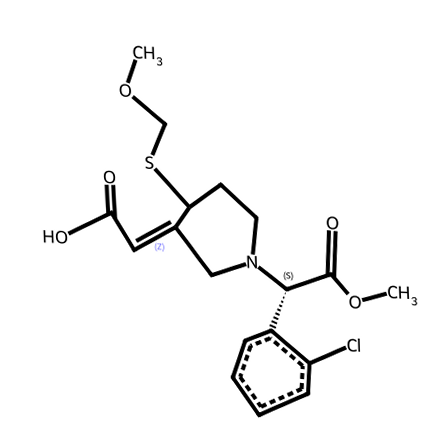 COCSC1CCN([C@H](C(=O)OC)c2ccccc2Cl)C/C1=C/C(=O)O